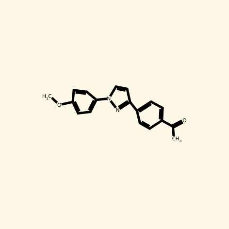 COc1ccc(-n2ccc(-c3ccc(C(C)=O)cc3)n2)cc1